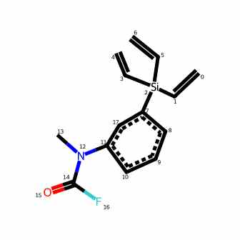 C=C[Si](C=C)(C=C)c1cccc(N(C)C(=O)F)c1